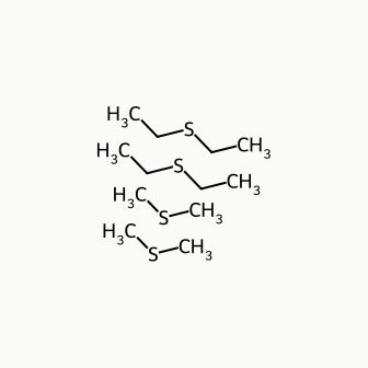 CCSCC.CCSCC.CSC.CSC